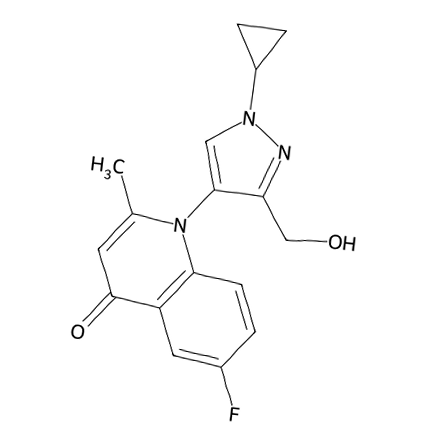 Cc1cc(=O)c2cc(F)ccc2n1-c1cn(C2CC2)nc1CO